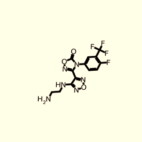 NCCNc1nonc1-c1noc(=O)n1-c1ccc(F)c(C(F)(F)F)c1